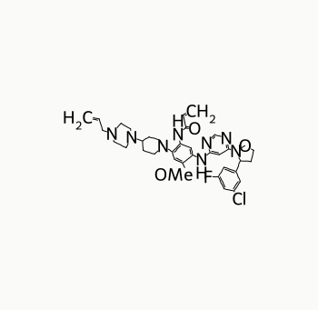 C=CCN1CCN(C2CCN(c3cc(OC)c(Nc4cc(N5OCCC5c5cc(F)cc(Cl)c5)ncn4)cc3NC(=O)C=C)CC2)CC1